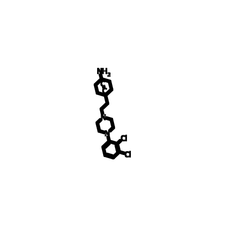 NC12CCC(CCN3CCN(c4cccc(Cl)c4Cl)CC3)(CC1)CC2